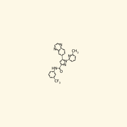 Cc1cccc(-n2nc(C(=O)Nc3cccc(C(F)(F)F)c3)cc2-c2ccc3nccnc3c2)n1